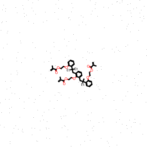 C=C(C)C(=O)OCCOc1ccccc1C(C)(CC)Cc1cccc(CC(CC)(CC)c2ccccc2OCCOC(=O)C(=C)C)c1OCCOC(=O)C(=C)C